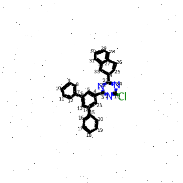 Clc1nc(-c2cc(-c3ccccc3)cc(-c3ccccc3)c2)nc(-c2ccc3ccccc3c2)n1